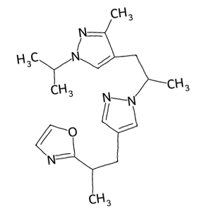 Cc1nn(C(C)C)cc1CC(C)n1cc(CC(C)c2ncco2)cn1